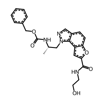 C[C@@H](Cn1ncc2ccc3oc(C(=O)NCCO)cc3c21)NC(=O)OCc1ccccc1